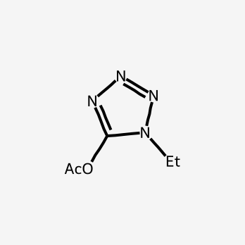 CCn1nnnc1OC(C)=O